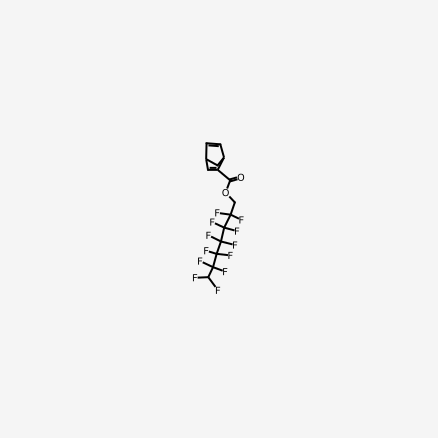 O=C(OCC(F)(F)C(F)(F)C(F)(F)C(F)(F)C(F)(F)C(F)F)C1=CC2C=CC1C2